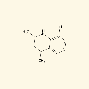 CC1CC(C)c2cccc(Cl)c2N1